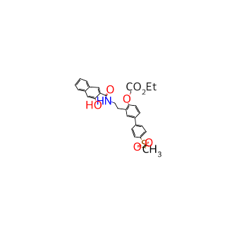 CCOC(=O)COc1ccc(-c2ccc(S(C)(=O)=O)cc2)cc1CCNC(=O)c1cc2ccccc2cc1O